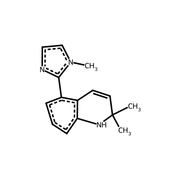 Cn1ccnc1-c1cccc2c1C=CC(C)(C)N2